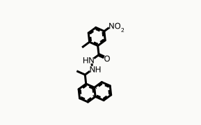 Cc1ccc([N+](=O)[O-])cc1C(=O)NNC(C)c1cccc2ccccc12